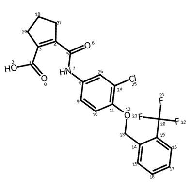 O=C(O)C1=C(C(=O)Nc2ccc(OCc3ccccc3C(F)(F)F)c(Cl)c2)CCC1